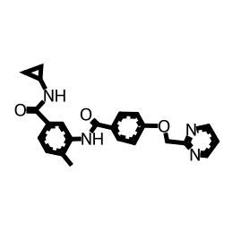 Cc1ccc(C(=O)NC2CC2)cc1NC(=O)c1ccc(OCc2ncccn2)cc1